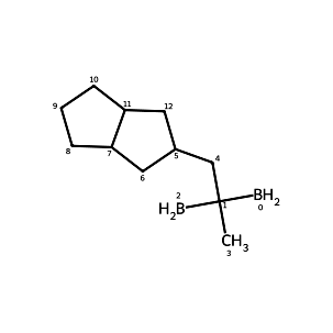 BC(B)(C)CC1CC2CCCC2C1